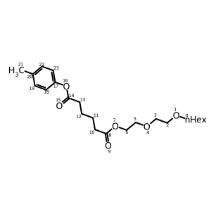 CCCCCCOCCOCCOC(=O)CCCCC(=O)Oc1ccc(C)cc1